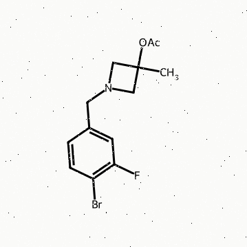 CC(=O)OC1(C)CN(Cc2ccc(Br)c(F)c2)C1